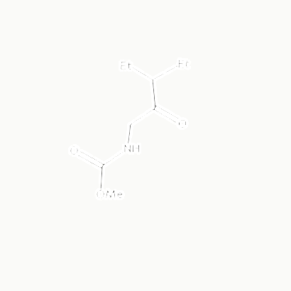 CCC(CC)C(=O)CNC(=O)OC